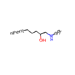 CCCCCCCCC(O)CNCCC